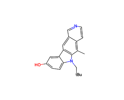 Cc1c2ccncc2cc2c3cc(O)ccc3n(CC(C)(C)C)c12